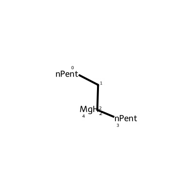 [CH2]CCCCCCCCCCC.[MgH2]